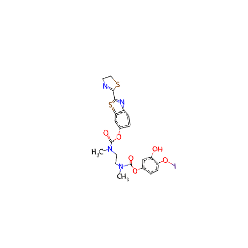 CN(CCN(C)C(=O)Oc1ccc2nc(C3=NCCS3)sc2c1)C(=O)Oc1ccc(OI)c(O)c1